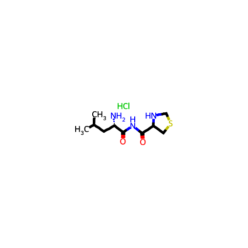 CC(C)C[C@H](N)C(=O)NC(=O)C1CSCN1.Cl